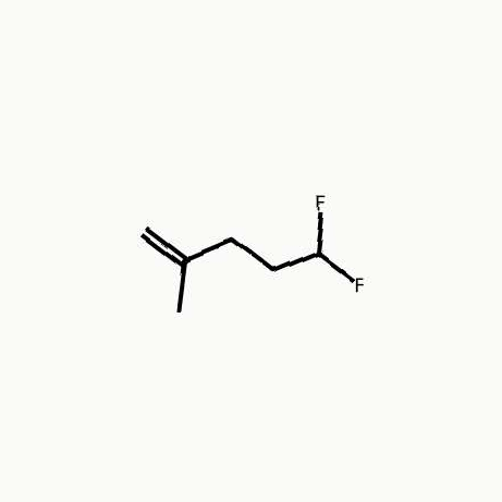 C=C(C)CCC(F)F